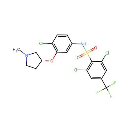 CN1CC[C@@H](Oc2cc(NS(=O)(=O)c3c(Cl)cc(C(F)(F)F)cc3Cl)ccc2Cl)C1